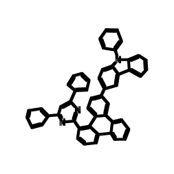 c1ccc(-c2cc(-c3ccccc3)nc(-c3cccc4c5ccccc5c5cc(-c6ccc7c(c6)c6ccccc6n7-c6ccccc6)ccc5c34)n2)cc1